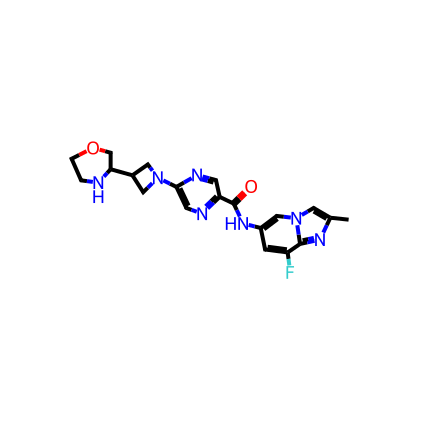 Cc1cn2cc(NC(=O)c3cnc(N4CC(C5COCCN5)C4)cn3)cc(F)c2n1